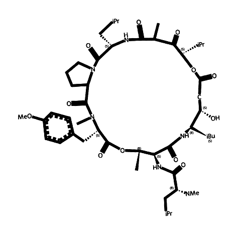 CC[C@H](C)[C@H]1NC(=O)[C@@H](NC(=O)[C@@H](CC(C)C)NC)[C@@H](C)OC(=O)[C@H](Cc2ccc(OC)cc2)N(C)C(=O)C2CCCN2C(=O)[C@H](CC(C)C)NC(=O)C(C)C(=O)[C@H](C(C)C)OC(=O)C[C@@H]1O